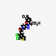 O=C(O)CC(NC(=O)C1CCN(C(=O)C=Cc2cc3ccsc3c(Cl)c2Cl)CC1)c1ccc([N+](=O)[O-])cc1